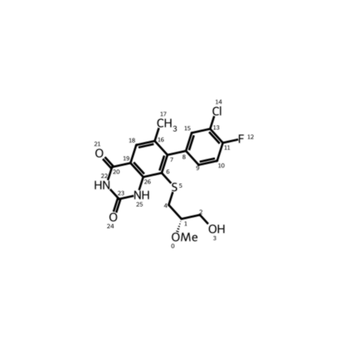 CO[C@@H](CO)CSc1c(-c2ccc(F)c(Cl)c2)c(C)cc2c(=O)[nH]c(=O)[nH]c12